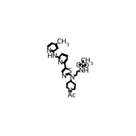 CC(=O)N1CCC(N(CCNS(C)(=O)=O)c2ncc(-c3cccc(Nc4cc(C)ccn4)n3)s2)CC1